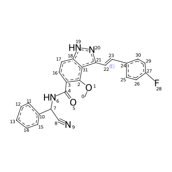 COc1c(C(=O)NC(C#N)c2ccccc2)ccc2[nH]nc(/C=C/c3ccc(F)cc3)c12